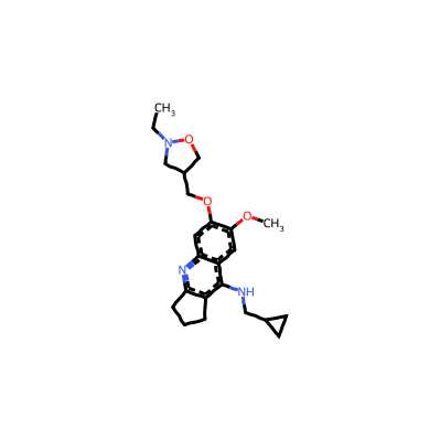 CCN1CC(COc2cc3nc4c(c(NCC5CC5)c3cc2OC)CCC4)CO1